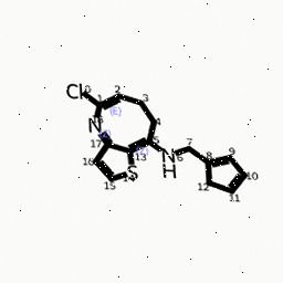 ClC1=C\CC/C(NCC2=CC=CC2)=c2/scc/c2=N/1